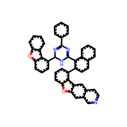 c1ccc(C2=NC(c3cccc4oc5ccccc5c34)NC(c3c(-c4cccc5oc6cc7cnccc7cc6c45)ccc4ccccc34)=N2)cc1